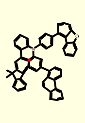 CC1(C)c2ccccc2-c2ccc(-c3ccccc3N(c3ccc(-c4cccc5oc6ccccc6c45)cc3)c3cccc(-c4cccc5c4ccc4ccccc45)c3)cc21